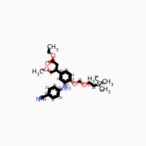 CCOC(=O)CC(COC)c1ccc(OCOCC[Si](C)(C)C)c(Nc2ccc(C#N)cc2)c1